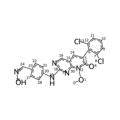 COn1c(=O)c(-c2c(Cl)cccc2Cl)cc2cnc(Nc3ccc(/C=N\O)cc3)nc21